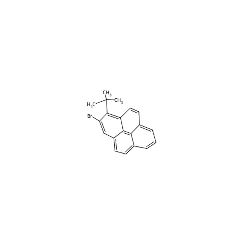 CC(C)(C)c1c(Br)cc2ccc3cccc4ccc1c2c34